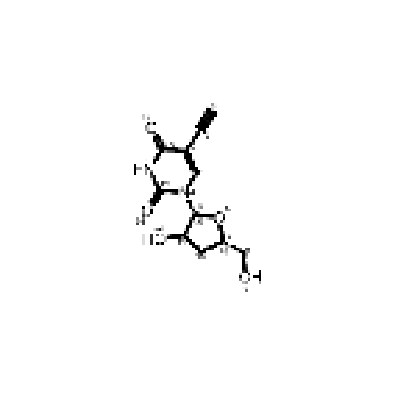 C#Cc1cn([C@H]2O[C@@H](CO)CC2O)c(=O)[nH]c1=O